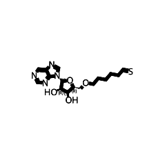 O[C@@H]1[C@H](O)[C@@H](COCCCCCC=S)O[C@H]1n1cnc2cncnc21